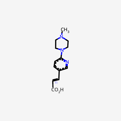 CN1CCN(c2ccc(/C=C/C(=O)O)cn2)CC1